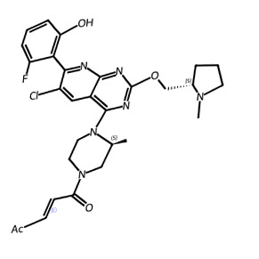 CC(=O)/C=C/C(=O)N1CCN(c2nc(OC[C@@H]3CCCN3C)nc3nc(-c4c(O)cccc4F)c(Cl)cc23)[C@@H](C)C1